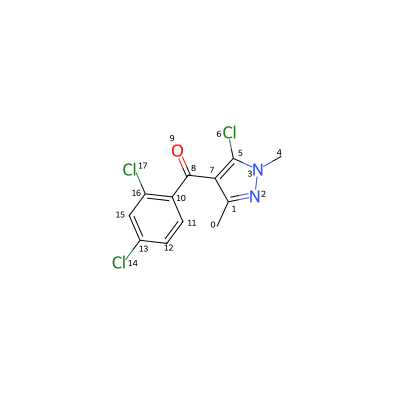 Cc1nn(C)c(Cl)c1C(=O)c1ccc(Cl)cc1Cl